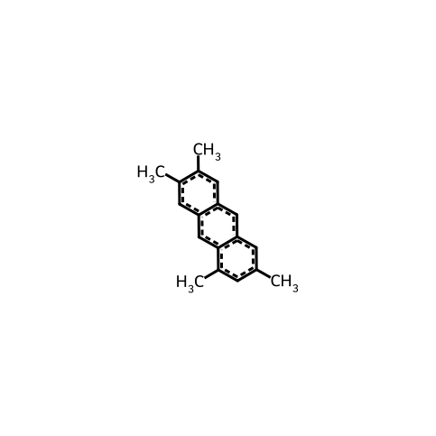 Cc1cc(C)c2cc3cc(C)c(C)cc3cc2c1